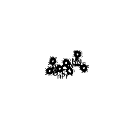 CCCC1CC=c2c(c3c(-c4ccc5c(c4)N(c4ccccc4)c4ccccc4O5)cccc3n2C2CC(c3ccccc3)=NC(c3ccccc3)=N2)=C1C